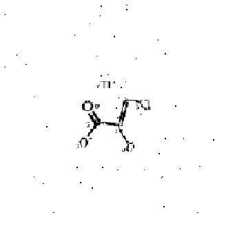 O=C([O-])C(Cl)=CCl.[Tl+]